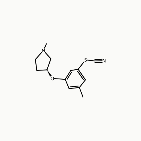 Cc1cc(O[C@H]2CCN(C)C2)cc(SC#N)c1